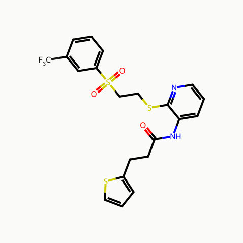 O=C(CCc1cccs1)Nc1cccnc1SCCS(=O)(=O)c1cccc(C(F)(F)F)c1